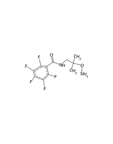 CC(C)(CNC(=O)c1c(F)c(F)c(F)c(F)c1F)O[SiH3]